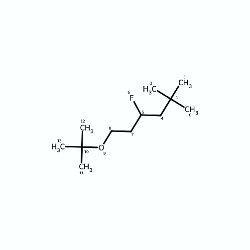 CC(C)(C)CC(F)CCOC(C)(C)C